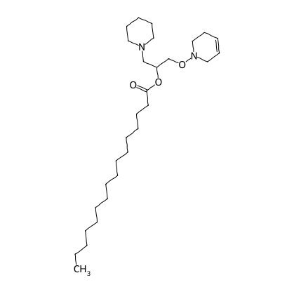 CCCCCCCCCCCCCCCC(=O)OC(CON1CC=CCC1)CN1CCCCC1